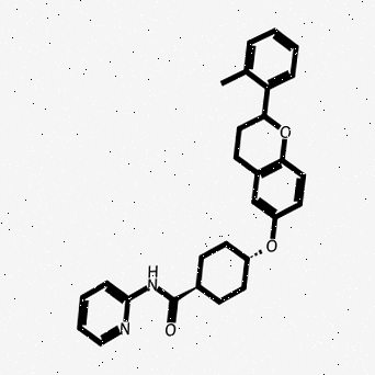 Cc1ccccc1C1CCc2cc(O[C@H]3CC[C@H](C(=O)Nc4ccccn4)CC3)ccc2O1